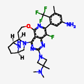 Cc1cc(N)cc(-c2nc3c4c(nc(N5CC(C)(N(C)C)C5)nc4c2F)N2C[C@H]4CC[C@H](N4)[C@H]2CCO3)c1C(F)(F)F